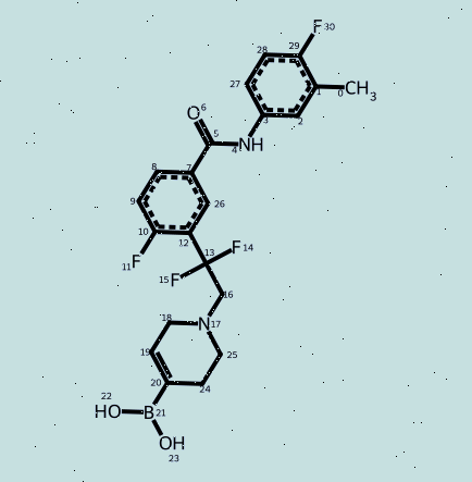 Cc1cc(NC(=O)c2ccc(F)c(C(F)(F)CN3CC=C(B(O)O)CC3)c2)ccc1F